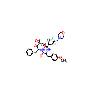 COc1ccc(CC(NC(=O)C(C)/C=C(\F)CN2CCOCC2)C(=O)NC(Cc2ccccc2)C(=O)C2(C)CO2)cc1